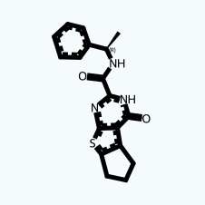 C[C@@H](NC(=O)c1nc2sc3c(c2c(=O)[nH]1)CCC3)c1ccccc1